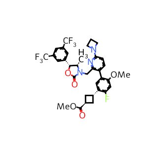 COc1cc(F)c([C@H]2C[C@H](C(=O)OC)C2)cc1-c1ccc(N2CCC2)nc1CN1C(=O)O[C@H](c2cc(C(F)(F)F)cc(C(F)(F)F)c2)[C@@H]1C